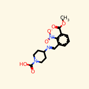 COC(=O)c1cccc(C=NC2CCN(C(=O)O)CC2)c1[N+](=O)[O-]